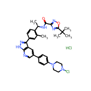 Cc1cc(-c2n[nH]c3ncc(-c4ccc(N5CCN(Cl)CC5)cc4)cc23)ccc1[C@@H](C)NC(=O)c1noc(C(C)(C)C)n1.Cl